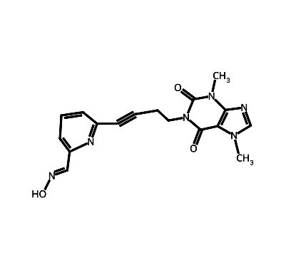 Cn1cnc2c1c(=O)n(CCC#Cc1cccc(C=NO)n1)c(=O)n2C